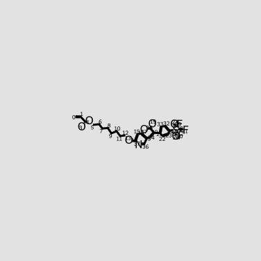 C=CC(=O)OCCCCCCCCOc1cc2oc(=O)c(-c3ccc(S(=O)(=O)C(F)(F)F)cc3)cc2cn1